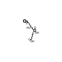 O=C(O)CCCC=CC[C@H]1[C@@H](O)CC(=O)[C@@H]1C=CC(O)CCCc1cc2ccccc2s1